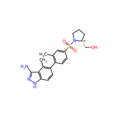 Cc1cc(S(=O)(=O)N2CCC[C@@H]2CO)ccc1-c1ccc2[nH]nc(N)c2c1C